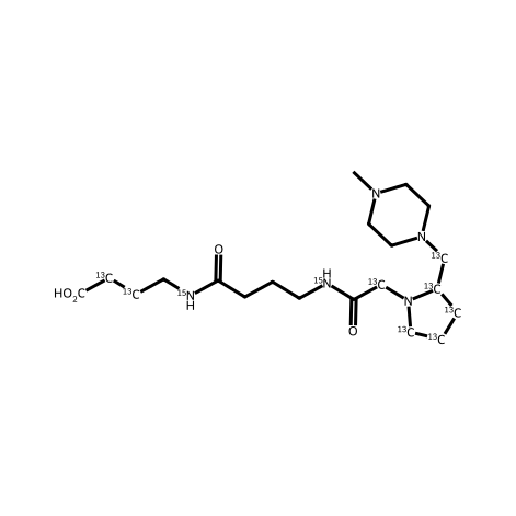 CN1CCN([13CH2][13CH]2[13CH2][13CH2][13CH2]N2[13CH2]C(=O)[15NH]CCCC(=O)[15NH]C[13CH2][13CH2][13C](=O)O)CC1